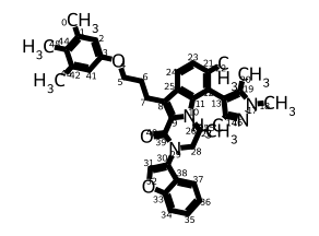 Cc1cc(OCCCc2c3n(c4c(-c5c(C)nn(C)c5C)c(C)ccc24)[C@H](C)CN(c2coc4ccccc24)C3=O)cc(C)c1C